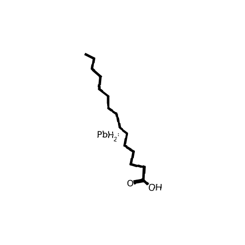 CCCCCCCCCCCCCCC(=O)O.[PbH2]